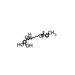 Cc1cccc(C(F)(F)COCCCCCCNC[C@H](O)c2ccc(O)c(CO)c2)c1